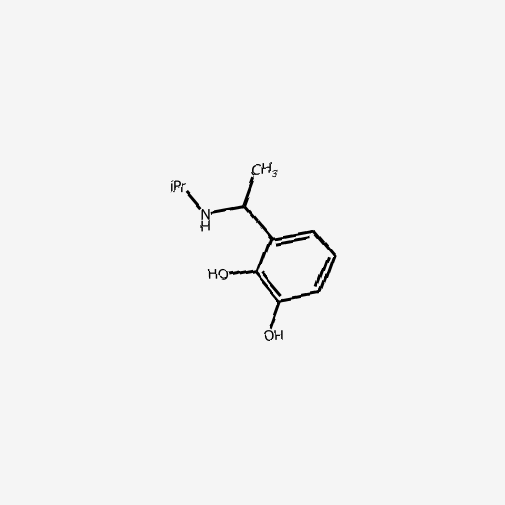 CC(C)NC(C)c1cccc(O)c1O